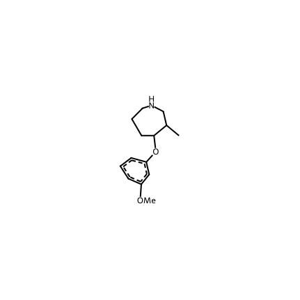 COc1cccc(OC2CCCNCC2C)c1